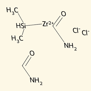 C[SiH](C)[Zr+2].NC=O.NC=O.[Cl-].[Cl-]